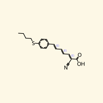 CCCCSc1ccc(/C=C/C=C/C=C(\C#N)C(=O)O)cc1